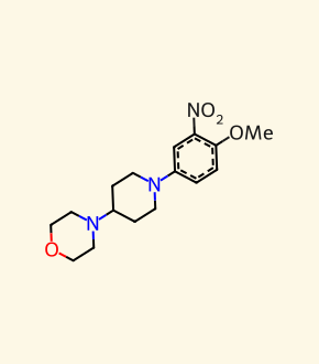 COc1ccc(N2CCC(N3CCOCC3)CC2)cc1[N+](=O)[O-]